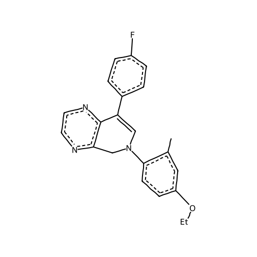 CCOc1ccc(N2C=C(c3ccc(F)cc3)c3nccnc3C2)c(C)c1